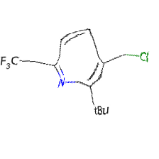 CC(C)(C)c1nc(C(F)(F)F)ccc1Cl